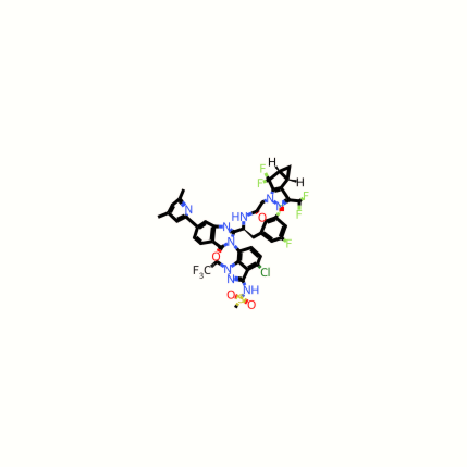 Cc1cc(C)nc(-c2ccc3c(=O)n(-c4ccc(Cl)c5c(NS(C)(=O)=O)nn(CC(F)(F)F)c45)c([C@H](Cc4cc(F)cc(F)c4)NC(=O)Cn4nc(C(F)F)c5c4C(F)(F)[C@@H]4C[C@H]54)nc3c2)c1